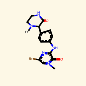 CCN1CCNC(=O)C1c1ccc(Nc2nc(Br)cn(C)c2=O)cc1